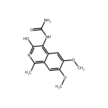 COc1cc2c(C)nc(O)c(NC(N)=O)c2cc1OC